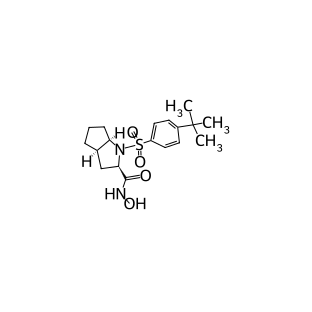 CC(C)(C)c1ccc(S(=O)(=O)N2[C@@H](C(=O)NO)C[C@H]3CCC[C@H]32)cc1